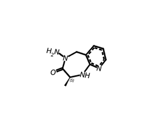 C[C@@H]1Nc2ncccc2CN(N)C1=O